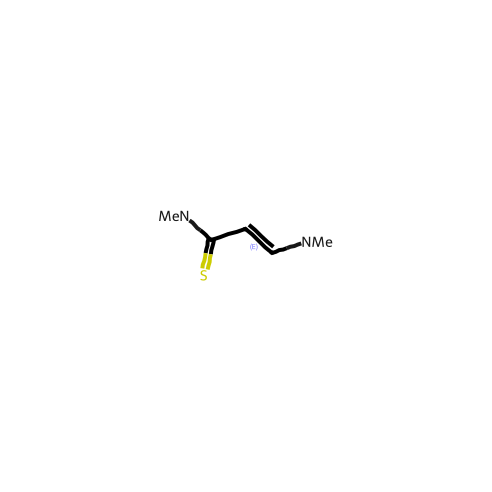 CN/C=C/C(=S)NC